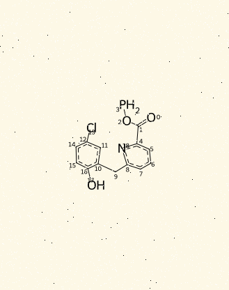 O=C(OP)c1cccc(Cc2cc(Cl)ccc2O)n1